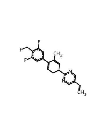 C=Cc1cnc(C2C=C(C)C(c3cc(F)c(CF)c(F)c3)=CC2)nc1